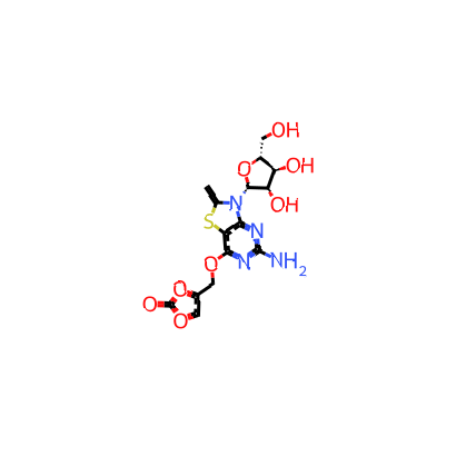 C=C1Sc2c(OCc3coc(=O)o3)nc(N)nc2N1[C@@H]1O[C@H](CO)[C@@H](O)[C@H]1O